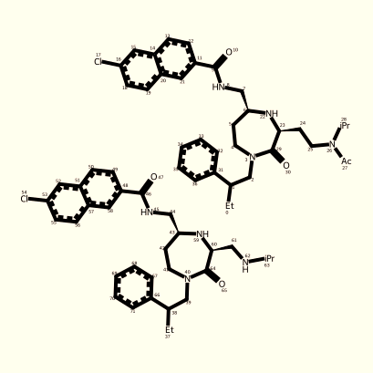 CCC(CN1CC[C@@H](CNC(=O)c2ccc3cc(Cl)ccc3c2)N[C@@H](CCN(C(C)=O)C(C)C)C1=O)c1ccccc1.CCC(CN1CC[C@@H](CNC(=O)c2ccc3cc(Cl)ccc3c2)N[C@@H](CNC(C)C)C1=O)c1ccccc1